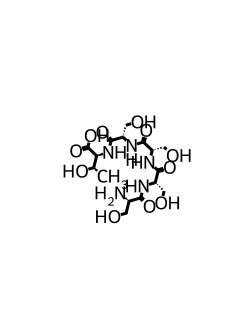 C[C@@H](O)[C@H](NC(=O)[C@H](CO)NC(=O)[C@H](CO)NC(=O)[C@H](CO)NC(=O)[C@@H](N)CO)C(=O)O